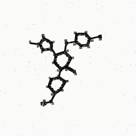 Cn1cc(-c2cn(-c3ccc(OC(F)(F)F)cc3)c(=O)cc2Oc2ccc(Cl)cc2)cn1